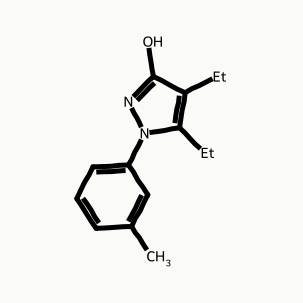 CCc1c(O)nn(-c2cccc(C)c2)c1CC